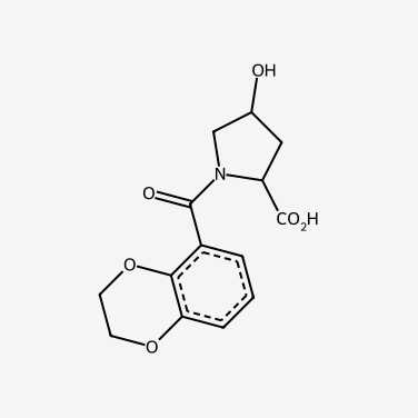 O=C(O)C1CC(O)CN1C(=O)c1cccc2c1OCCO2